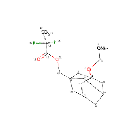 COCOC12CC3CC(CC(COC(=O)C(F)(F)S(=O)(=O)O)(C3)C1)C2